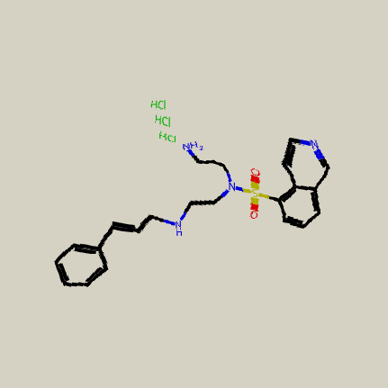 Cl.Cl.Cl.NCCN(CCNCC=Cc1ccccc1)S(=O)(=O)c1cccc2cnccc12